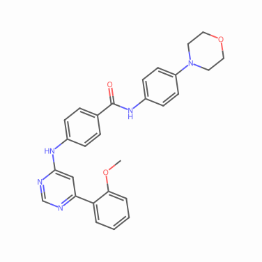 COc1ccccc1-c1cc(Nc2ccc(C(=O)Nc3ccc(N4CCOCC4)cc3)cc2)ncn1